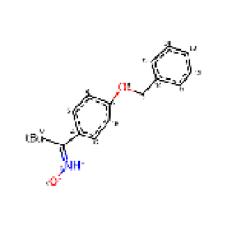 CC(C)(C)C(=[NH+][O-])c1ccc(OCc2ccccc2)cc1